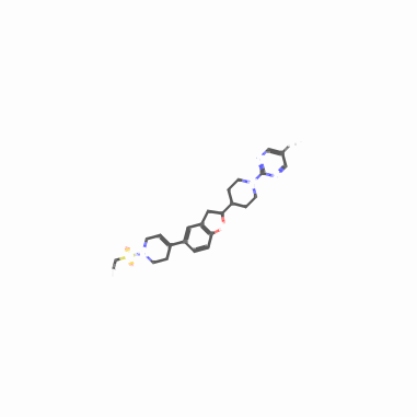 CCCc1cnc(N2CCC(C3Cc4cc(C5=CCN(S(=O)(=O)CC(C)C)CC5)ccc4O3)CC2)nc1